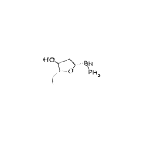 CC[C@H]1O[C@@H](BP)CC1O